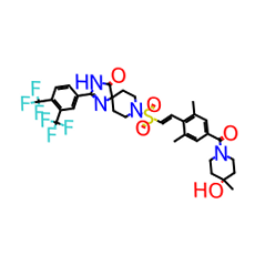 Cc1cc(C(=O)N2CCC(C)(O)CC2)cc(C)c1C=CS(=O)(=O)N1CCC2(CC1)N=C(c1ccc(C(F)(F)F)c(C(F)(F)F)c1)NC2=O